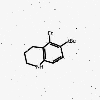 CCc1c(C(C)(C)C)ccc2c1CCCN2